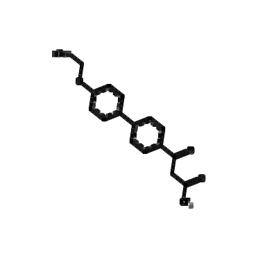 CCCCCCCCCCCOc1ccc(-c2ccc(C(=O)CC(=O)C(F)(F)F)cc2)cc1